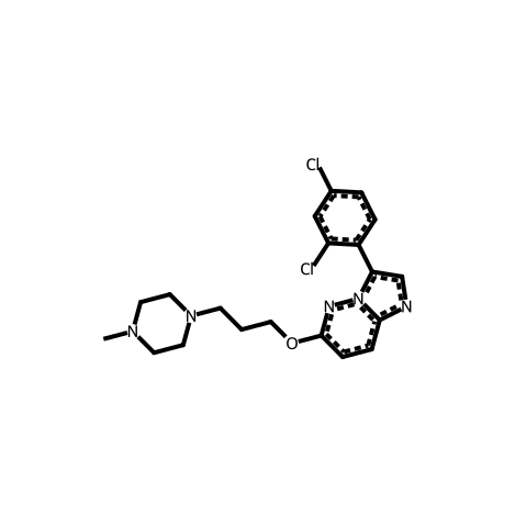 CN1CCN(CCCOc2ccc3ncc(-c4ccc(Cl)cc4Cl)n3n2)CC1